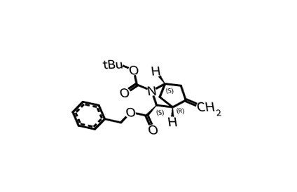 C=C1C[C@@H]2C[C@H]1[C@@H](C(=O)OCc1ccccc1)N2C(=O)OC(C)(C)C